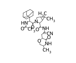 CC1COC(C[C@@H](C#N)NC(=O)C2C3C(CN2C(=O)C(NC(=O)C(F)(F)F)C24CC5CC(CC(C5)C2)C4)C3(C)C)C(=O)N1